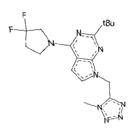 Cn1nnnc1Cn1ccc2c(N3CCC(F)(F)C3)nc(C(C)(C)C)nc21